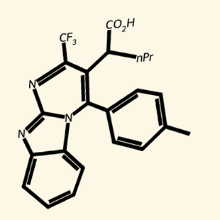 CCCC(C(=O)O)c1c(C(F)(F)F)nc2nc3ccccc3n2c1-c1ccc(C)cc1